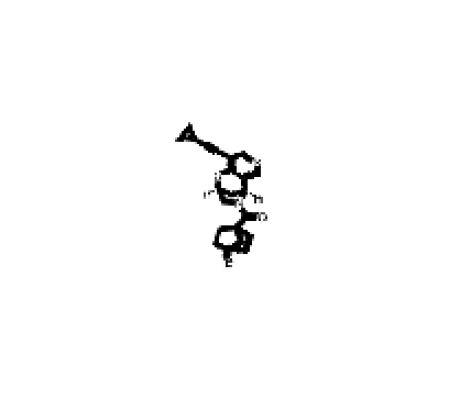 O=C(N1C[C@@H]2C[C@H]1c1cncc(C#CC3CC3)c1O2)C12CCC(F)(CC1)C2